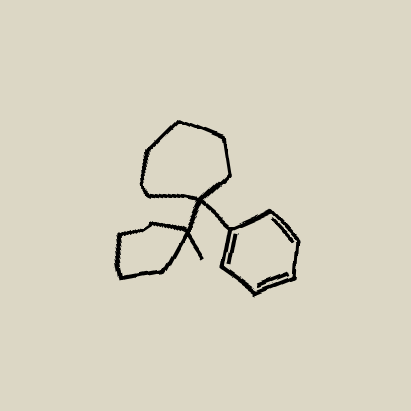 CC1(C2(c3ccccc3)CCCCC2)CCCC1